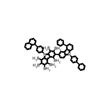 Bc1c(B)c(B)c2c(c1B)c1c(B)c(-c3ccc4c(c3)c3c(-c5ccccc5)cccc3n4-c3ccc(-c4ccccc4)cc3)c(B)c(B)c1n2-c1ccc(-c2cccc3ccccc23)cc1